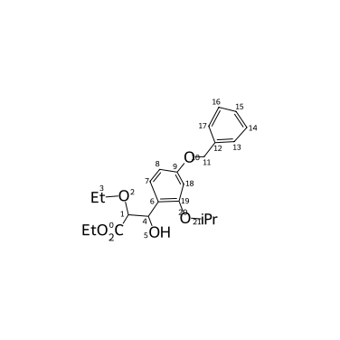 CCOC(=O)C(OCC)C(O)c1ccc(OCc2ccccc2)cc1OC(C)C